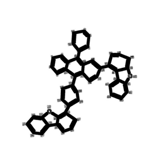 c1ccc(-c2c3ccccc3c(-c3ccc(-c4cccc5c4oc4ccccc45)cc3)c3ccc(-c4cccc5oc6ccccc6c45)cc23)cc1